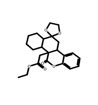 CCOC(=O)CC12C(=O)Oc3ccccc3C1CC1(OCCO1)C1CCCCC12